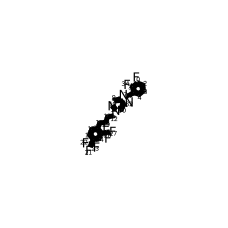 Fc1cccc(-c2nc3cnn(CCCCc4ccc(C(F)(F)F)cc4C(F)(F)F)cc-3n2)c1F